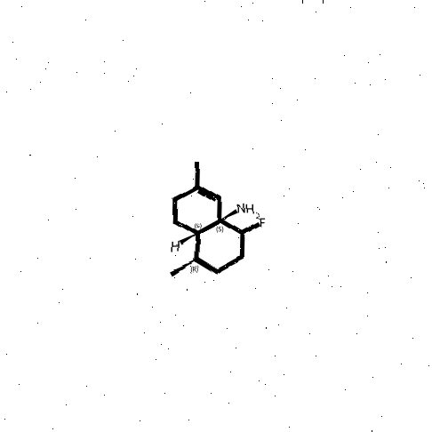 CC1=C[C@]2(N)C(F)CC[C@@H](C)[C@@H]2CC1